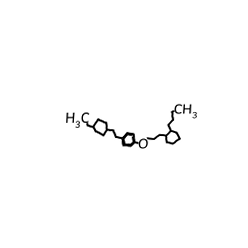 CCCCC1CCCCC1CCCOc1ccc(CCC2CCC(CC)CC2)cc1